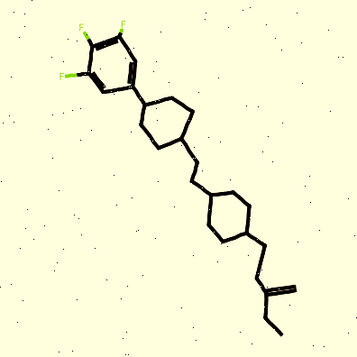 C=C(CC)CCC1CCC(CCC2CCC(c3cc(F)c(F)c(F)c3)CC2)CC1